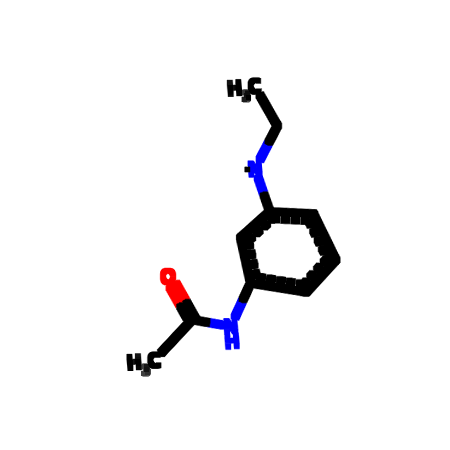 CC[N]c1cccc(NC(C)=O)c1